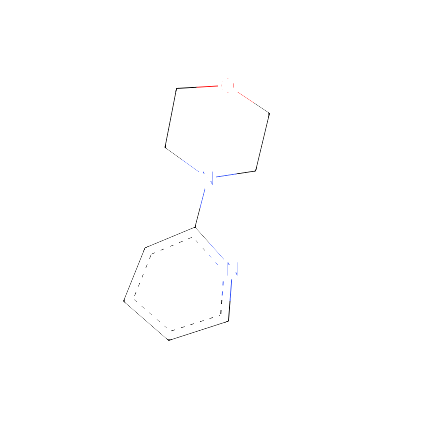 C[C@@H]1COC[C@H](C)N1c1cc[c]cn1